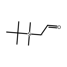 CC(C)(C)[Si](C)(C)[CH]C=O